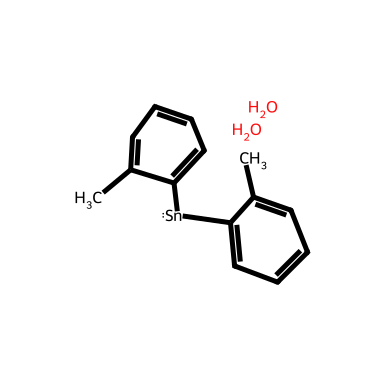 Cc1cccc[c]1[Sn][c]1ccccc1C.O.O